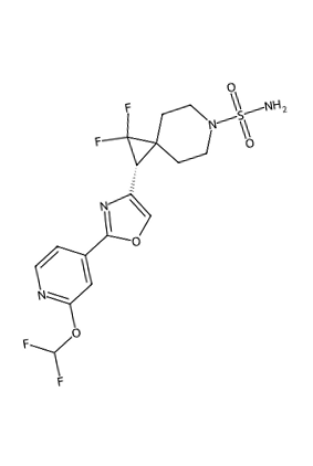 NS(=O)(=O)N1CCC2(CC1)[C@H](c1coc(-c3ccnc(OC(F)F)c3)n1)C2(F)F